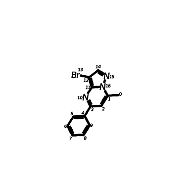 Cc1cc(-c2ccccc2)nc2c(Br)cnn12